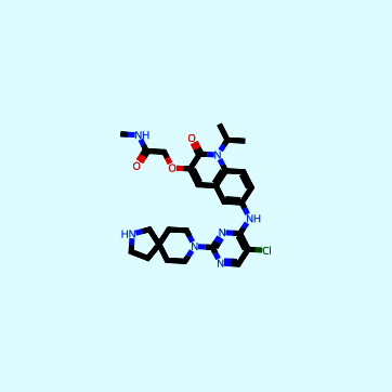 CNC(=O)COc1cc2cc(Nc3nc(N4CCC5(CCNC5)CC4)ncc3Cl)ccc2n(C(C)C)c1=O